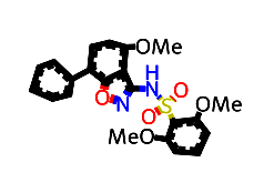 COc1cccc(OC)c1S(=O)(=O)Nc1noc2c(-c3ccccc3)ccc(OC)c12